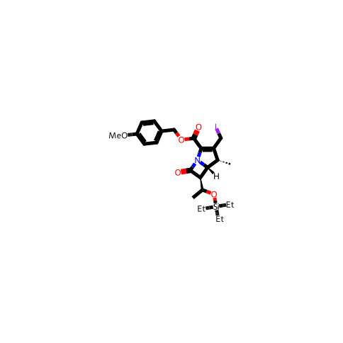 CC[Si](CC)(CC)OC(C)[C@H]1C(=O)N2C(C(=O)OCc3ccc(OC)cc3)=C(CI)[C@H](C)[C@H]12